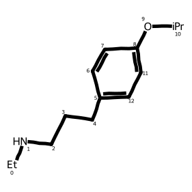 CCNCCCc1ccc(OC(C)C)cc1